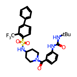 CC(C)(C)NC(=O)Nc1cccc(C(=O)N2CCC(NS(=O)(=O)c3ccc(-c4ccccc4)cc3C(F)(F)F)CC2)c1